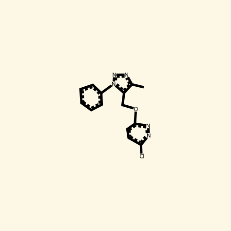 Cc1nnn(-c2ccccc2)c1COc1ccc(Cl)nn1